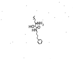 CSCC[C@@H](N)C(O)C(=O)NCCCCc1ccccc1